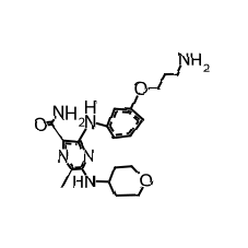 Cc1nc(C(N)=O)c(Nc2cccc(OCCCN)c2)nc1NC1CCOCC1